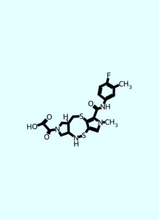 Cc1cc(NC(=O)c2c3c(cn2C)SNC2CN(C(=O)C(=O)O)C[C@H]2CS3)ccc1F